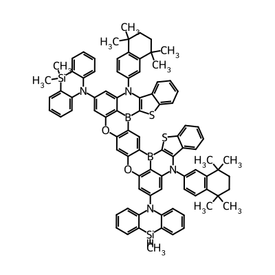 C[SiH]1c2ccccc2N(c2cc3c4c(c2)N(c2ccc5c(c2)C(C)(C)CCC5(C)C)c2c(sc5ccccc25)B4c2cc4c(cc2O3)Oc2cc(N3c5ccccc5[Si](C)(C)c5ccccc53)cc3c2B4c2sc4ccccc4c2N3c2ccc3c(c2)C(C)(C)CCC3(C)C)c2ccccc21